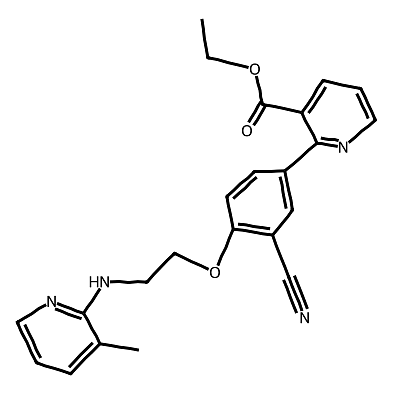 CCOC(=O)c1cccnc1-c1ccc(OCCNc2ncccc2C)c(C#N)c1